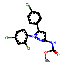 CC(C)(C)OC(=O)Nc1cc(-c2ccc(Cl)cc2)n(-c2ccc(Cl)cc2Cl)n1